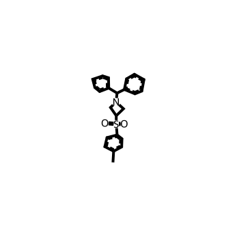 Cc1ccc(S(=O)(=O)C2CN(C(c3ccccc3)c3ccccc3)C2)cc1